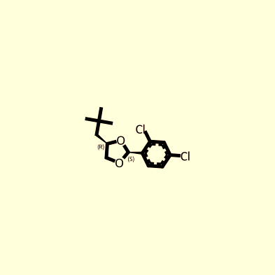 CC(C)(C)C[C@@H]1CO[C@H](c2ccc(Cl)cc2Cl)O1